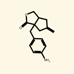 C=C1CC2COC(=O)C2(Cc2ccc(N)cc2)C1